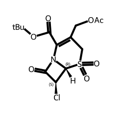 CC(=O)OCC1=C(C(=O)OC(C)(C)C)N2C(=O)[C@H](Cl)[C@H]2S(=O)(=O)C1